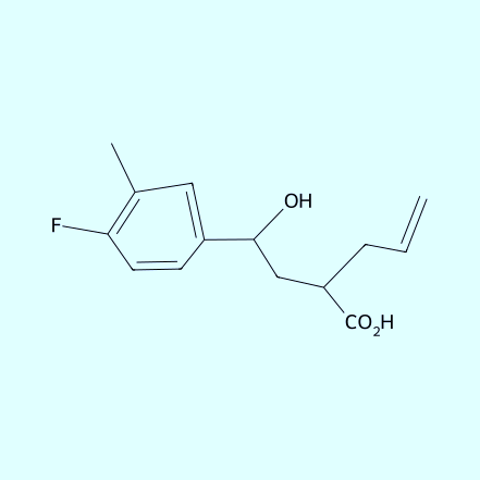 C=CCC(CC(O)c1ccc(F)c(C)c1)C(=O)O